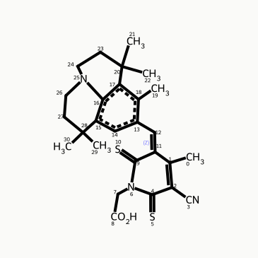 CC1=C(C#N)C(=S)N(CC(=O)O)C(=S)/C1=C\c1cc2c3c(c1C)C(C)(C)CCN3CCC2(C)C